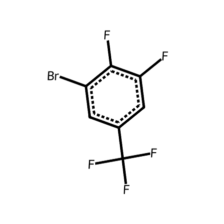 Fc1cc(C(F)(F)F)cc(Br)c1F